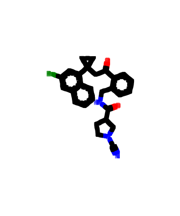 N#CN1CCC(C(=O)NCc2ccccc2C(=O)CC2(c3cc(Br)cc4ccccc34)CC2)C1